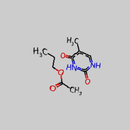 CCCOC(C)=O.Cc1c[nH]c(=O)[nH]c1=O